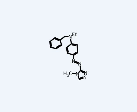 CCN(Cc1ccccc1)c1ccc(/N=N/c2nncn2C)cc1